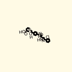 O=C(O)[C@H]1CCCN(CC(O)c2ccc(-c3noc(-c4cc(-c5ccccc5Cl)n[nH]4)n3)cc2)C1